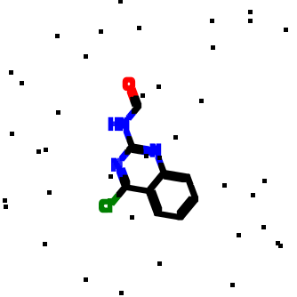 O=CNc1nc(Cl)c2ccccc2n1